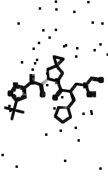 CC(C)(C)c1cc(NC(=O)[C@@H]2CC3(CC3)CN2C(=O)[C@H](CC2CCCC2)CN(O)C=O)no1